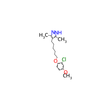 COc1ccc(OCCCCCCc2c(C)n[nH]c2C)c(Cl)c1